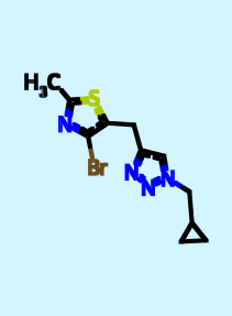 Cc1nc(Br)c(Cc2cn(CC3CC3)nn2)s1